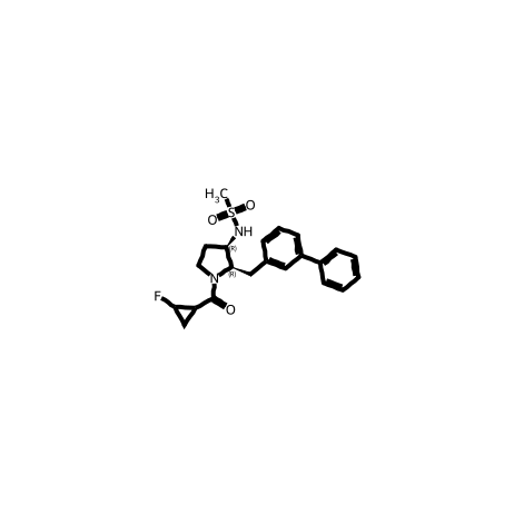 CS(=O)(=O)N[C@@H]1CCN(C(=O)C2CC2F)[C@@H]1Cc1cccc(-c2ccccc2)c1